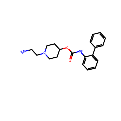 NCCN1CCC(OC(=O)Nc2ccccc2-c2ccccc2)CC1